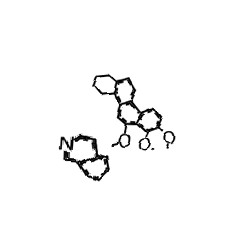 COc1ccc2c(c(OC)cc3c4c(ccc32)CCCC4)c1OC.c1ccc2cnccc2c1